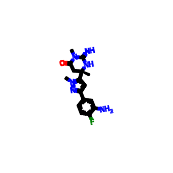 CN1C(=N)N[C@](C)(c2cc(-c3ccc(F)c(N)c3)nn2C)CC1=O